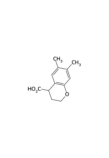 Cc1cc2c(cc1C)C(C(=O)O)CCO2